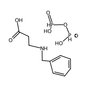 O=C(O)CCNCc1ccccc1.O=[PH](O)O[PH](=O)O